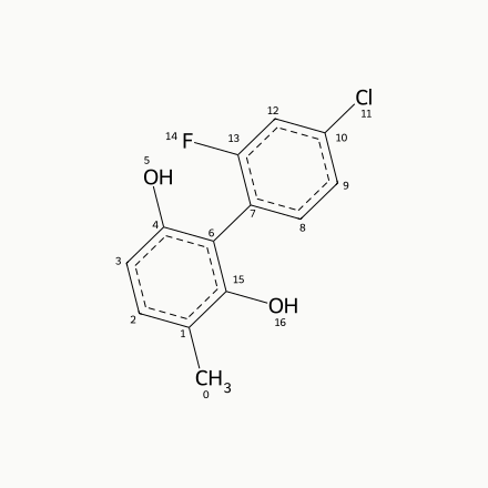 Cc1ccc(O)c(-c2ccc(Cl)cc2F)c1O